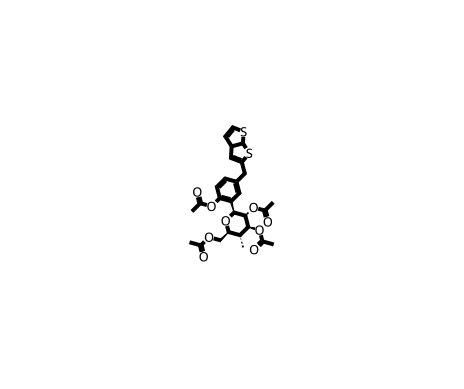 CC(=O)OC[C@H]1O[C@@H](c2cc(CC3=CC4C=CSC4S3)ccc2OC(C)=O)[C@H](OC(C)=O)[C@@H](OC(C)=O)[C@@H]1C